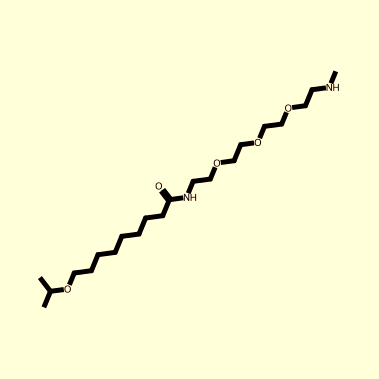 CNCCOCCOCCOCCNC(=O)CCCCCCCCOC(C)C